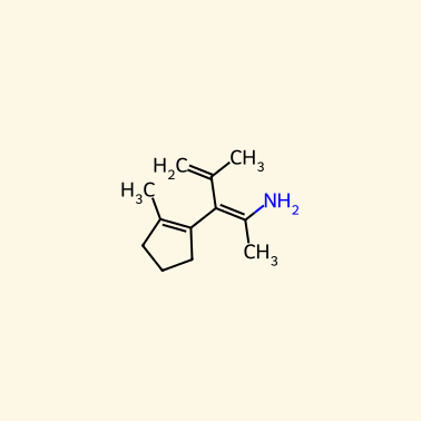 C=C(C)/C(C1=C(C)CCC1)=C(/C)N